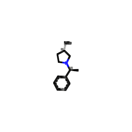 CN[C@H]1CCN([C@@H](C)c2ccccc2)C1